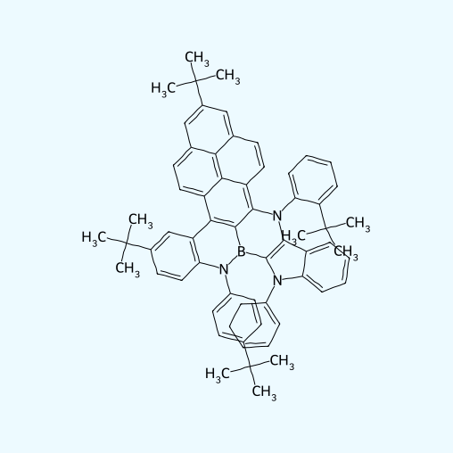 CC(C)(C)c1ccc(N2B3c4c(c5ccc6cc(C(C)(C)C)cc7ccc(c4N(c4ccccc4C(C)(C)C)c4c3n(C3=CC=CCC3)c3ccccc43)c5c67)-c3cc(C(C)(C)C)ccc32)cc1